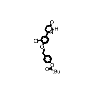 CC(C)(C)C(=O)Oc1ccc(CCOc2ccc(C3=NNC(=O)CC3)cc2Cl)cc1